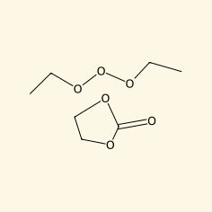 CCOOOCC.O=C1OCCO1